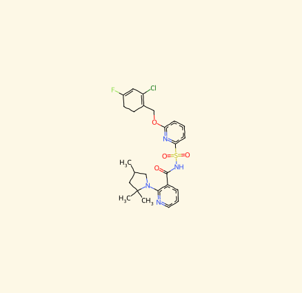 CC1CN(c2ncccc2C(=O)NS(=O)(=O)c2cccc(OCC3=C(Cl)C=C(F)CC3)n2)C(C)(C)C1